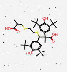 CC(CSCCSC(c1cc(C(C)(C)C)c(O)c(C(C)(C)C)c1)C(C)(C(=O)O)c1cc(C(C)(C)C)c(O)c(C(C)(C)C)c1)C(=O)O